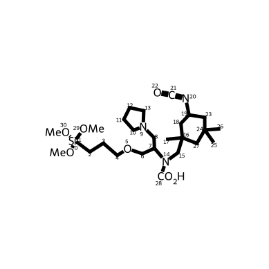 CO[Si](CCCOCC(CN1CCCC1)N(CC1(C)CC(N=C=O)CC(C)(C)C1)C(=O)O)(OC)OC